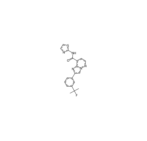 CC(C)(F)c1cccc(-c2cn3nccc(C(=O)Nc4nccs4)c3n2)c1